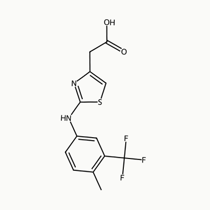 Cc1ccc(Nc2nc(CC(=O)O)cs2)cc1C(F)(F)F